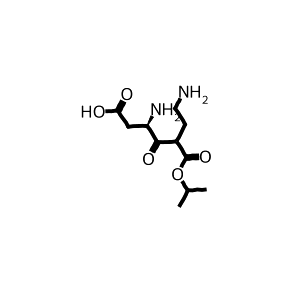 CC(C)OC(=O)C(CCN)C(=O)[C@H](N)CC(=O)O